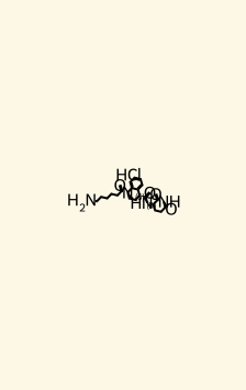 Cl.NCCCCCC(=O)N1CC[C@H](C(=O)N[C@@H]2CCC(=O)NC2=O)c2ccccc21